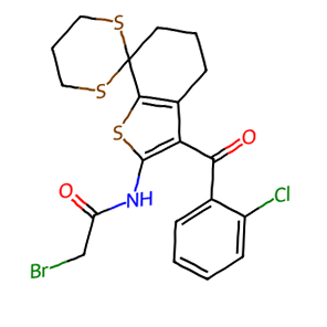 O=C(CBr)Nc1sc2c(c1C(=O)c1ccccc1Cl)CCCC21SCCCS1